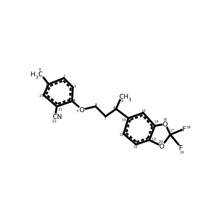 Cc1ccc(OCCC(C)c2ccc3c(c2)OC(F)(F)O3)c(C#N)c1